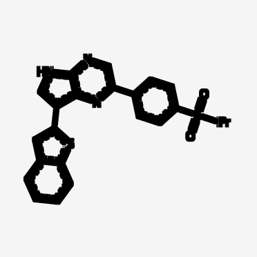 CC(C)S(=O)(=O)c1ccc(-c2cnc3[nH]cc(-c4cc5ccccc5s4)c3n2)cc1